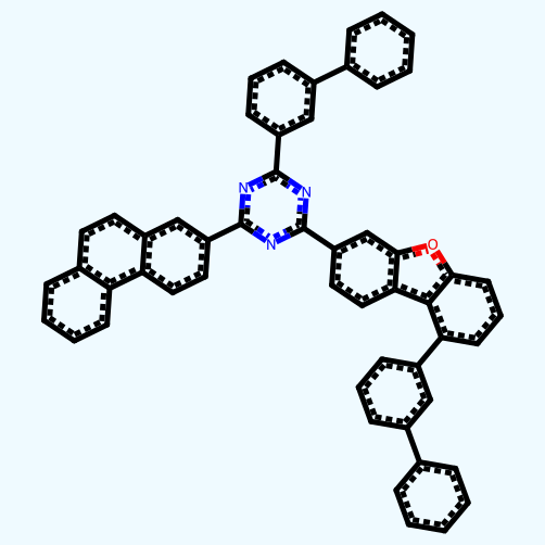 c1ccc(-c2cccc(-c3nc(-c4ccc5c(ccc6ccccc65)c4)nc(-c4ccc5c(c4)oc4cccc(-c6cccc(-c7ccccc7)c6)c45)n3)c2)cc1